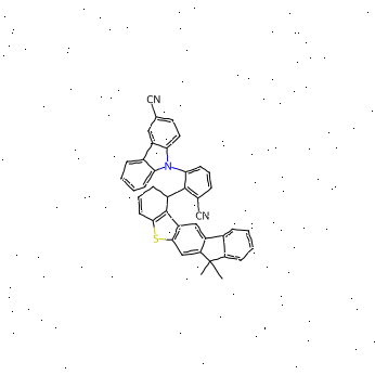 CC1(C)c2ccccc2-c2cc3c4c(sc3cc21)C=CCC4c1c(C#N)cccc1-n1c2ccccc2c2cc(C#N)ccc21